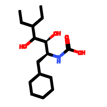 CCC(CC)C(O)[C@H](O)[C@H](CC1CCCCC1)NC(=O)O